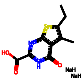 CCc1sc2nc(C(=O)O)[nH]c(=O)c2c1C.[NaH].[NaH]